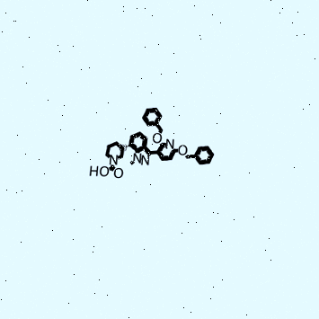 Cn1nc(-c2ccc(OCc3ccccc3)nc2OCc2ccccc2)c2cccc([C@H]3CCCN(C(=O)O)C3)c21